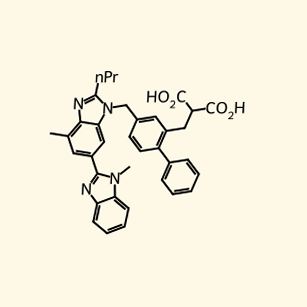 CCCc1nc2c(C)cc(-c3nc4ccccc4n3C)cc2n1Cc1ccc(-c2ccccc2)c(CC(C(=O)O)C(=O)O)c1